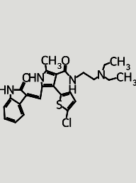 CCN(CC)CCNC(=O)c1c(C)[nH]c(C=C2C(=O)Nc3ccccc32)c1-c1ccc(Cl)s1